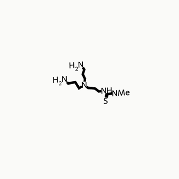 CNC(=S)NCCCN(CCCN)CCCN